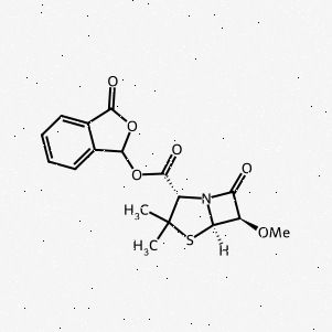 CO[C@@H]1C(=O)N2[C@@H]1SC(C)(C)[C@@H]2C(=O)OC1OC(=O)c2ccccc21